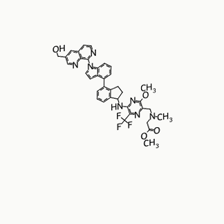 COC(=O)CN(C)Cc1nc(C(F)(F)F)c(NC2CCc3c(-c4cccc5c4ccn5-c4nccc5cc(CO)cnc45)cccc32)nc1OC